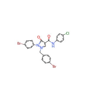 O=C(Nc1ccc(Cl)cc1)c1cn(Cc2ccc(Br)cc2)n(-c2ccc(Br)cc2)c1=O